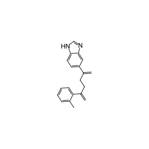 C=C(CCC(=C)c1ccccc1C)c1ccc2[nH]cnc2c1